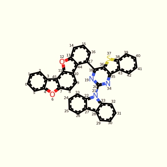 c1ccc2c(c1)oc1ccc3c(oc4cccc(-c5nc(-n6c7ccccc7c7ccccc76)nc6c5sc5ccccc56)c43)c12